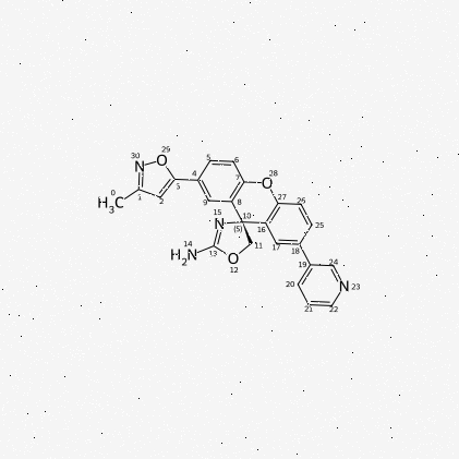 Cc1cc(-c2ccc3c(c2)[C@]2(COC(N)=N2)c2cc(-c4cccnc4)ccc2O3)on1